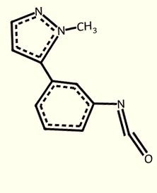 Cn1nccc1-c1cccc(N=C=O)c1